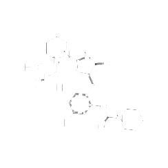 CP(C)(=O)CN1CCCCN1C1=NC(=O)/C(=C/c2ccc(F)cc2OC(=O)N2CCCCC2)S1